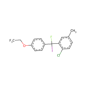 Cc1ccc(Cl)c(C(F)(I)c2ccc(OCC(F)(F)F)cc2)c1